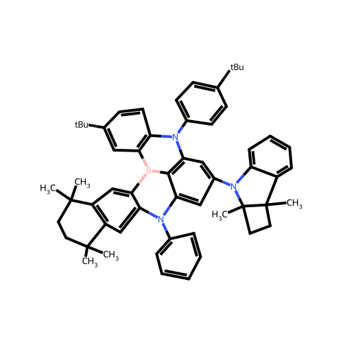 CC(C)(C)c1ccc(N2c3ccc(C(C)(C)C)cc3B3c4cc5c(cc4N(c4ccccc4)c4cc(N6c7ccccc7C7(C)CCC67C)cc2c43)C(C)(C)CCC5(C)C)cc1